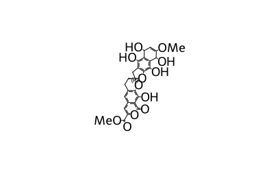 COC(=O)c1cc2cc3c(c(O)c2c(=O)o1)O[C@]1(CC3)Cc2c(O)c3c(c(O)c2O1)C(O)C(OC)=CC3O